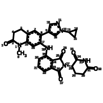 CN1C(=O)CCc2cc(-c3cnn(C4CC4)c3)c(Nc3cccc4c3C(=O)N([C@H]3CCC(=O)NC3=O)C4=O)cc21